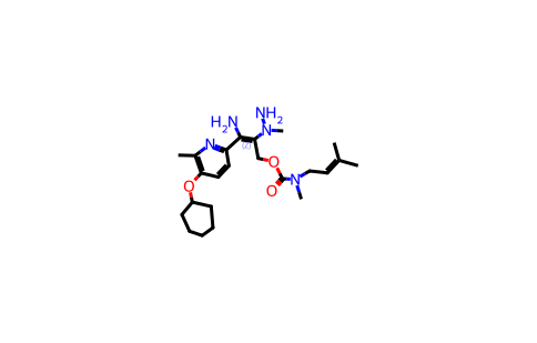 CC(C)=CCN(C)C(=O)OC/C(=C(/N)c1ccc(OC2CCCCC2)c(C)n1)N(C)N